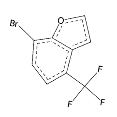 FC(F)(F)c1ccc(Br)c2occc12